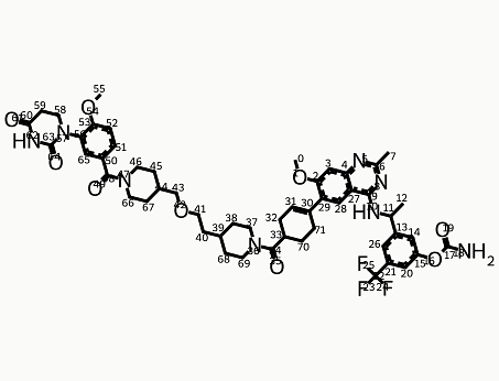 COc1cc2nc(C)nc(NC(C)c3cc(OC(N)=O)cc(C(F)(F)F)c3)c2cc1C1=CCC(C(=O)N2CCC(CCOCC3CCN(C(=O)c4ccc(OC)c(N5CCC(=O)NC5=O)c4)CC3)CC2)CC1